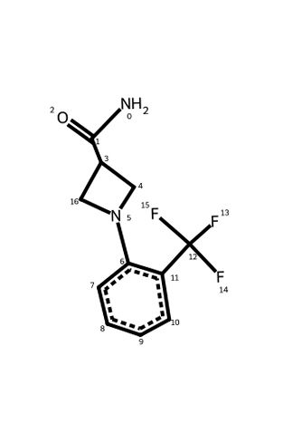 NC(=O)C1CN(c2ccccc2C(F)(F)F)C1